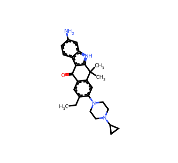 CCc1cc2c(cc1N1CCN(C3CC3)CC1)C(C)(C)c1[nH]c3cc(N)ccc3c1C2=O